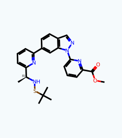 COC(=O)c1cccc(-n2ncc3ccc(-c4cccc([C@H](C)NSC(C)(C)C)n4)cc32)n1